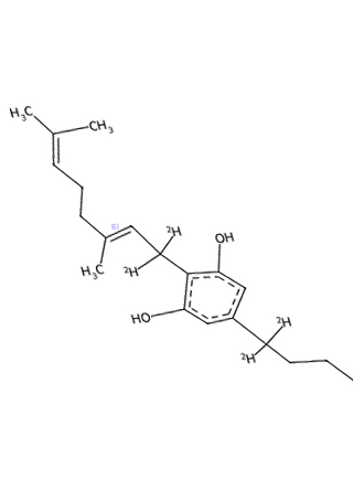 [2H]C([2H])(/C=C(\C)CCC=C(C)C)c1c(O)cc(C([2H])([2H])CCCC)cc1O